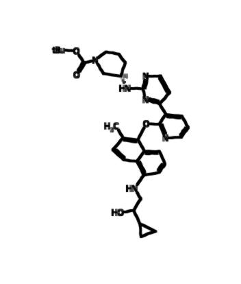 Cc1ccc2c(NCC(O)C3CC3)cccc2c1Oc1ncccc1-c1ccnc(N[C@H]2CCCN(C(=O)OC(C)(C)C)C2)n1